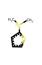 [CH2][SH](C)c1cccs1